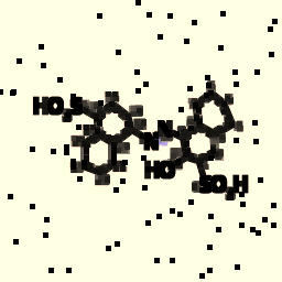 O=S(=O)(O)c1cc2ccccc2c(/N=N/c2ccc(S(=O)(=O)O)c3ccccc23)c1O